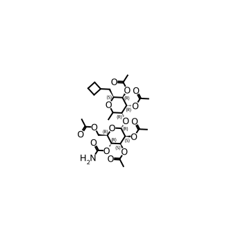 CC(=O)OC[C@H]1O[C@H](O[C@@H]2C(C)O[C@@H](CC3CCC3)[C@@H](OC(C)=O)[C@@H]2OC(C)=O)[C@@H](OC(C)=O)[C@@H](OC(C)=O)[C@@H]1OC(N)=O